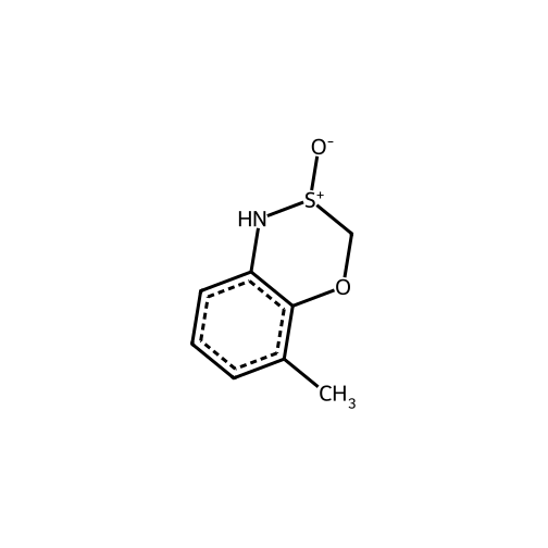 Cc1cccc2c1OC[S+]([O-])N2